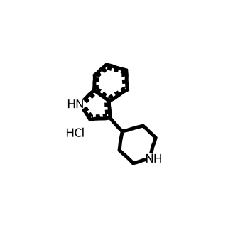 Cl.c1ccc2c(C3CCNCC3)c[nH]c2c1